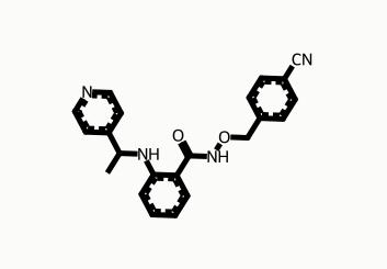 CC(Nc1ccccc1C(=O)NOCc1ccc(C#N)cc1)c1ccncc1